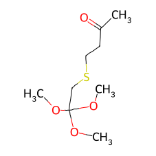 COC(CSCCC(C)=O)(OC)OC